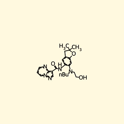 CCCCN(CCO)c1cc2c(cc1NC(=O)c1cnn3cccnc13)CC(C)(C)O2